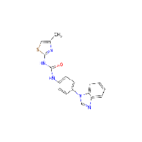 Cc1csc(NC(=O)Nc2ccc(-n3cnc4ccccc43)cc2)n1